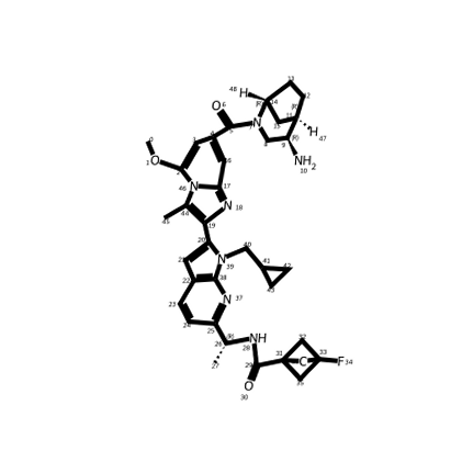 COc1cc(C(=O)N2C[C@H](N)[C@@H]3CC[C@@H]2C3)cc2nc(-c3cc4ccc([C@@H](C)NC(=O)C56CC(F)(C5)C6)nc4n3CC3CC3)c(C)n12